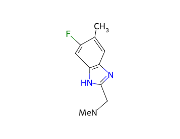 CNCc1nc2cc(C)c(F)cc2[nH]1